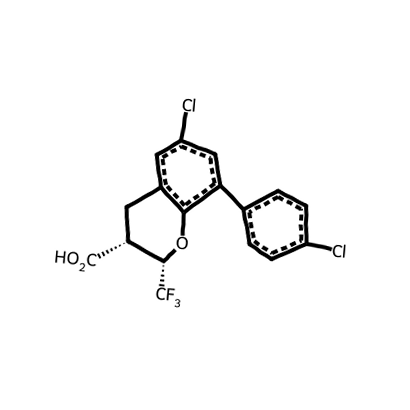 O=C(O)[C@@H]1Cc2cc(Cl)cc(-c3ccc(Cl)cc3)c2O[C@@H]1C(F)(F)F